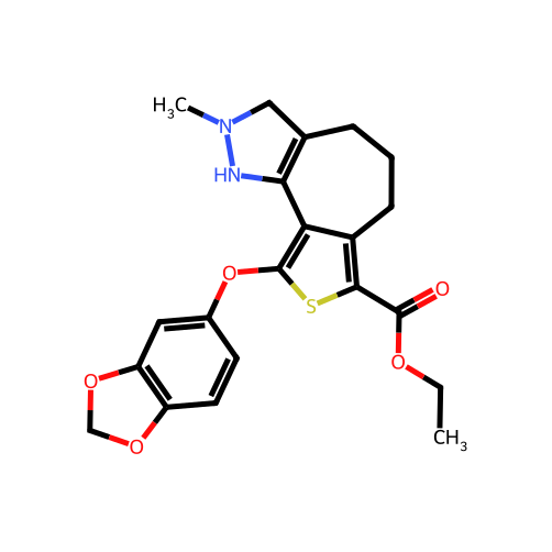 CCOC(=O)c1sc(Oc2ccc3c(c2)OCO3)c2c1CCCC1=C2NN(C)C1